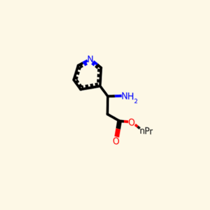 CCCOC(=O)CC(N)c1cccnc1